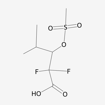 CC(C)C(OS(C)(=O)=O)C(F)(F)C(=O)O